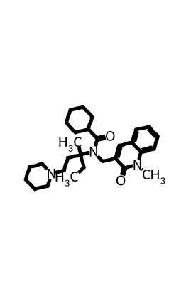 CCC(C)(CCN1CCCCC1)N(Cc1cc2ccccc2n(C)c1=O)C(=O)C1CCCCC1